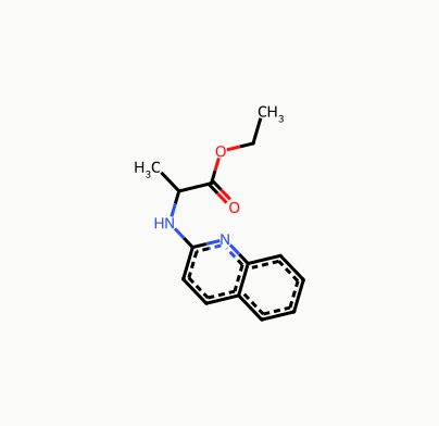 CCOC(=O)C(C)Nc1ccc2ccccc2n1